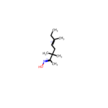 CC/C(C)=C/CC(C)(C)/C(C)=N/O